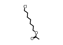 CC(=O)OCCCCCCCCl